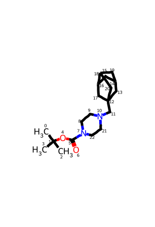 CC(C)(C)OC(=O)N1CCN(CC23CC4CC(C2)C(C4)C3)CC1